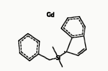 C[Si](C)(Cc1ccccc1)[C]1C=Cc2ccccc21.[Gd]